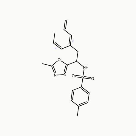 C=C/C=C(\C=C/C)CC(NS(=O)(=O)c1ccc(C)cc1)c1nnc(C)o1